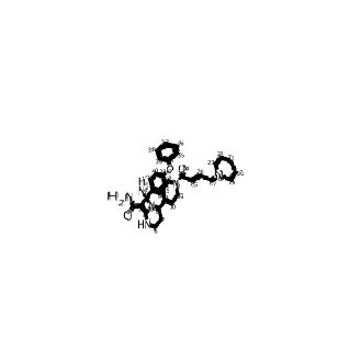 NC(=O)C1=C2NCCC(C3CCN(C(=O)/C=C/CN4CCCCC4)CC3)N2[C@@]1(N)c1ccc(Oc2ccccc2)cc1